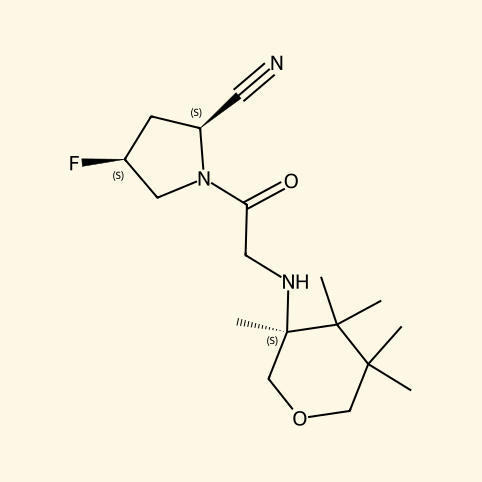 CC1(C)COC[C@@](C)(NCC(=O)N2C[C@@H](F)C[C@H]2C#N)C1(C)C